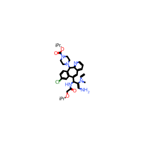 C=CN(C)/C(=C\N)C(NC(=O)COC(C)C)C1=Cc2cccnc2C(N2CCN(C(=O)OC(C)C)CC2)c2ccc(Cl)cc21